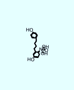 O=P(O)(O)N=C1CC=C(O)C=C1CCCCc1ccc(O)cc1